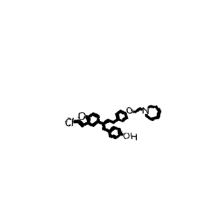 Oc1ccc(CC(=CCc2ccc(OCCN3CCCCCC3)cc2)c2ccc3oc(Cl)cc3c2)cc1